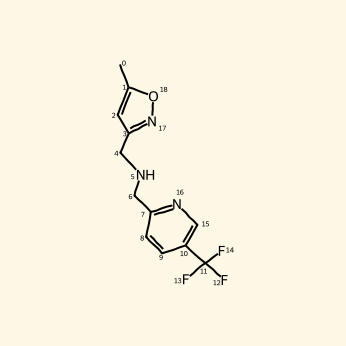 Cc1cc(CNCc2ccc(C(F)(F)F)cn2)no1